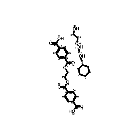 C1CCCCC1.CO.CO.O=C(O)c1ccc(C(=O)OCCOC(=O)c2ccc(C(=O)O)cc2)cc1.OCCO